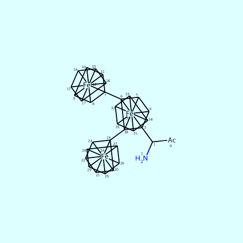 CC(=O)C(N)[C]12[CH]3[CH]4[C]5([C]67[CH]8[CH]9[CH]%10[CH]6[Fe]9%10876%11%12%13[CH]7[CH]6[CH]%11[CH]%12[CH]7%13)[C]1([C]16[CH]7[CH]8[CH]9[CH]1[Fe]89761%10%11%12[CH]6[CH]1[CH]%10[CH]%11[CH]6%12)[Fe]34251678[CH]2[CH]1[CH]6[CH]7[CH]28